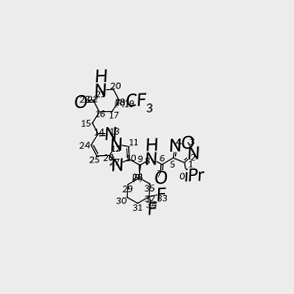 CC(C)c1nonc1C(=O)NC(c1cn2nc(CC3C[C@@H](C(F)(F)F)CNC3=O)ccc2n1)[C@@H]1CCCC(F)(F)C1